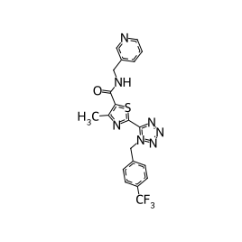 Cc1nc(-c2nnnn2Cc2ccc(C(F)(F)F)cc2)sc1C(=O)NCc1cccnc1